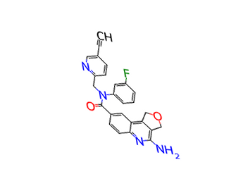 C#Cc1ccc(CN(C(=O)c2ccc3nc(N)c4c(c3c2)COC4)c2cccc(F)c2)nc1